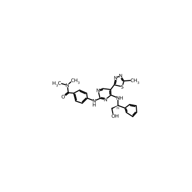 Cc1nnc(-c2cnc(Nc3ccc(C(=O)N(C)C)cc3)nc2N[C@H](CO)c2ccccc2)s1